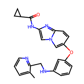 Cc1cccnc1CNc1cccc(Oc2ccc3nc(NC(=O)C4CC4)cn3c2)c1